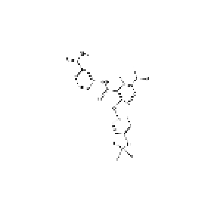 NC(=O)c1cc(NC(=O)c2c(Oc3ccc(OC(F)(F)F)cc3)ccc(C(F)F)c2F)ccc1F